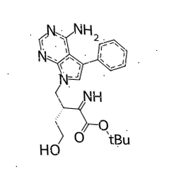 CC(C)(C)OC(=O)C(=N)[C@H](CCO)Cn1cc(-c2ccccc2)c2c(N)ncnc21